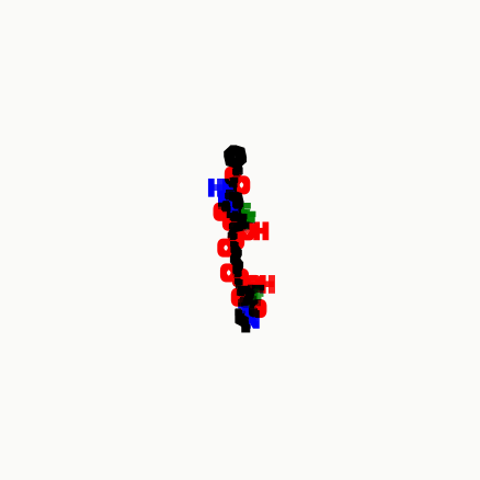 Cc1ccn([C@@H]2O[C@H](COC(=O)CCCC(=O)OC[C@H]3O[C@@H](n4ccc(NC(=O)OCc5ccccc5)nc4=O)C(F)(F)[C@@H]3O)[C@@H](O)C2(F)F)c(=O)n1